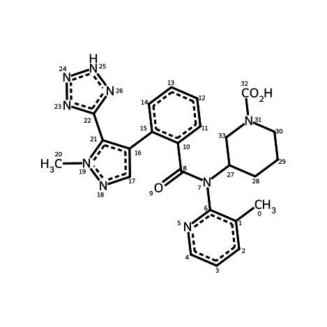 Cc1cccnc1N(C(=O)c1ccccc1-c1cnn(C)c1-c1nn[nH]n1)C1CCCN(C(=O)O)C1